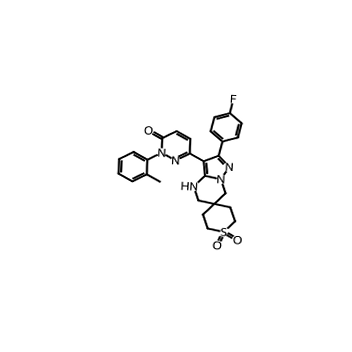 Cc1ccccc1-n1nc(-c2c(-c3ccc(F)cc3)nn3c2NCC2(CCS(=O)(=O)CC2)C3)ccc1=O